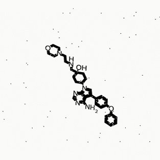 Nc1ncnc2c1c(-c1ccc(Oc3ccccc3)cc1)cn2[C@H]1CC[C@](O)(CNCCN2CCOCC2)CC1